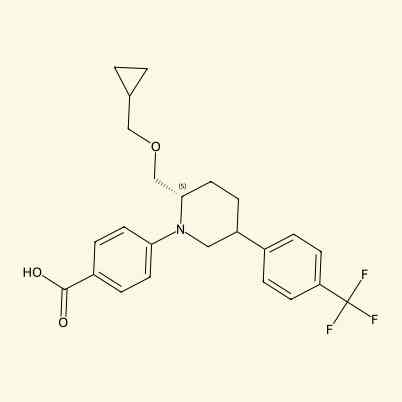 O=C(O)c1ccc(N2CC(c3ccc(C(F)(F)F)cc3)CC[C@H]2COCC2CC2)cc1